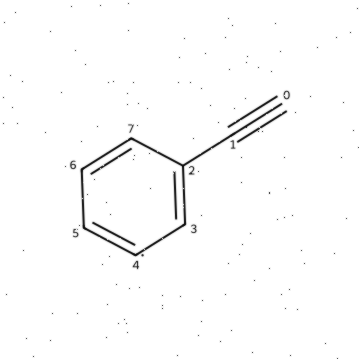 C#Cc1c[c]ccc1